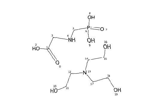 O=C(O)CNCP(=O)(O)O.OCCN(CCO)CCO